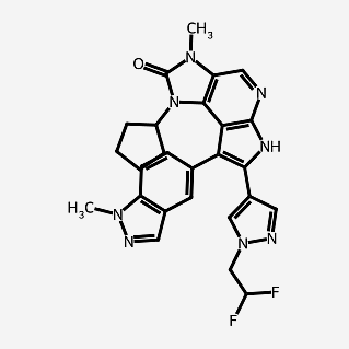 Cn1ncc2cc(-c3c(-c4cnn(CC(F)F)c4)[nH]c4ncc5c(c34)n(C3CCCC3)c(=O)n5C)ccc21